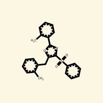 Cc1ccccc1[CH]c1oc(-c2ccccc2C)nc1S(=O)(=O)c1ccccc1